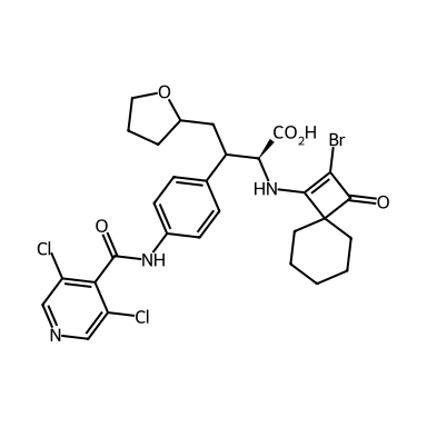 O=C(Nc1ccc(C(CC2CCCO2)[C@H](NC2=C(Br)C(=O)C23CCCCC3)C(=O)O)cc1)c1c(Cl)cncc1Cl